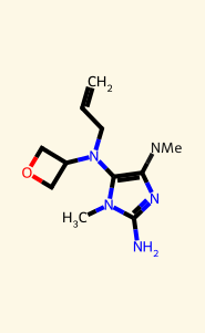 C=CCN(c1c(NC)nc(N)n1C)C1COC1